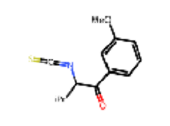 COc1cccc(C(=O)C(N=C=S)C(C)C)c1